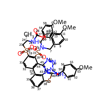 COc1ccc(CN(Cc2ccc(OC)cc2)S(=O)(=O)c2c(S(=O)(=O)C[C@H](C)NC(=O)OC(C)(C)C)ccc(-c3cccc4sc(N)nc34)c2-c2nnn(Cc3ccc(OC)cc3)n2)cc1